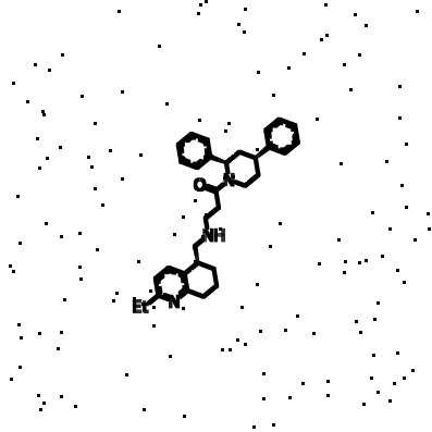 CCc1ccc2c(n1)CCC[C@@H]2CNCCC(=O)N1CC[C@H](c2ccccc2)C[C@@H]1c1ccccc1